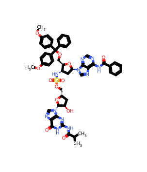 COc1ccc(C(OC[C@H]2O[C@@H](n3cnc4c(NC(=O)c5ccccc5)ncnc43)C[C@@H]2NS(=O)(=O)OC[C@@H]2C[C@@H](O)[C@H](n3cnc4c(=O)[nH]c(NC(=O)C(C)C)nc43)O2)(c2ccccc2)c2ccc(OC)cc2)cc1